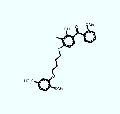 COc1ccc(C(=O)O)cc1OCCCCOc1ccc(C(=O)c2ccccc2OC)c(O)c1C